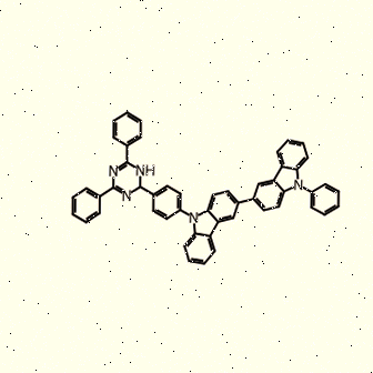 c1ccc(C2=NC(c3ccc(-n4c5ccccc5c5cc(-c6ccc7c(c6)c6ccccc6n7-c6ccccc6)ccc54)cc3)NC(c3ccccc3)=N2)cc1